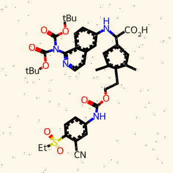 CCS(=O)(=O)c1ccc(NC(=O)OCCc2c(C)cc(C(Nc3ccc4c(N(C(=O)OC(C)(C)C)C(=O)OC(C)(C)C)nccc4c3)C(=O)O)cc2C)cc1C#N